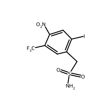 NS(=O)(=O)Cc1cc(C(F)(F)F)c([N+](=O)[O-])cc1I